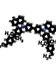 C=Cc1ccc(C(C)(C)c2ccc(N(c3ccc(-c4ccc(N(c5ccc(C(C)(C)c6ccc(C=C)cc6)cc5)c5cccc6ccccc56)cc4)cc3)c3cccc4ccccc34)cc2)cc1